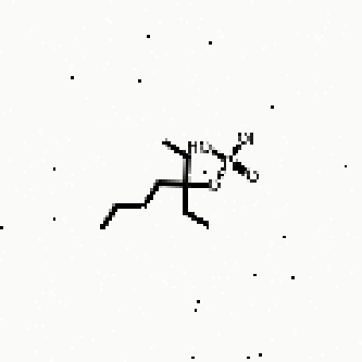 CCCCC(CC)(CC)OP(=O)(O)O